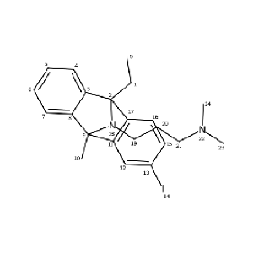 CCC12c3ccccc3C(C)(c3cc(I)ccc31)N2CCCN(C)C